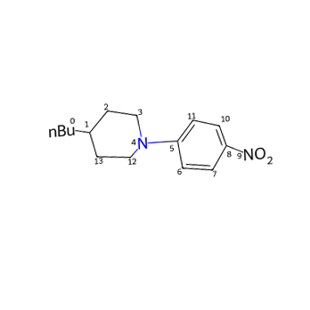 CCCCC1CCN(c2ccc([N+](=O)[O-])cc2)CC1